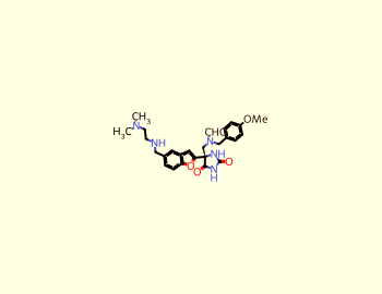 COc1ccc(CN(C=O)C[C@@]2(c3cc4cc(CNCCN(C)C)ccc4o3)NC(=O)NC2=O)cc1